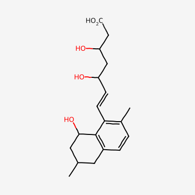 Cc1ccc2c(c1C=CC(O)CC(O)CC(=O)O)C(O)CC(C)C2